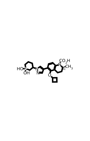 C[C@H]1CCc2c(ccc(-c3cnn(C4CCCS(O)(O)C4)c3)c2OC2CCC2)N1C(=O)O